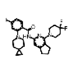 O=C(Nc1cc2c(c(N3CCC(F)(F)CC3)n1)CCC2)c1ccc(I)cc1N1CCC2(CC1)CC2